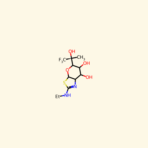 CCNC1=NC2C(OC([C@@](C)(O)C(F)(F)F)C(O)C2O)S1